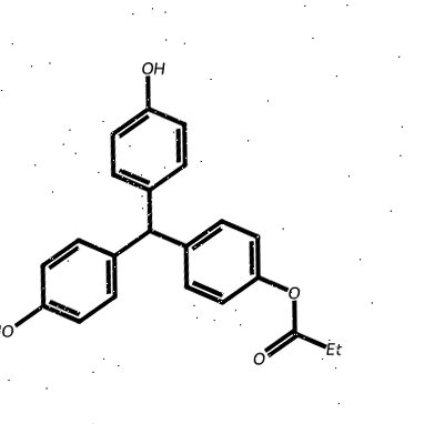 CCC(=O)Oc1ccc(C(c2ccc(O)cc2)c2ccc(O)cc2)cc1